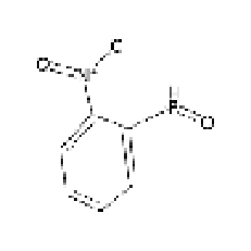 O=[PH]c1ccccc1[N+](=O)[O-]